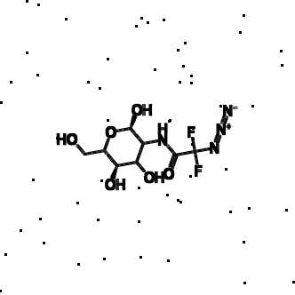 [N-]=[N+]=NC(F)(F)C(=O)NC1C(O)[C@@H](O)C(CO)O[C@H]1O